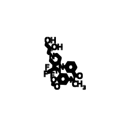 CN(C(=O)c1cccc(-n2nc(C(F)(F)F)c3c2CCN(C[C@@H](O)CO)C3)c1)c1ccc2c(c1)OCO2